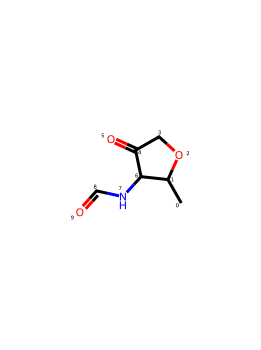 CC1OCC(=O)C1NC=O